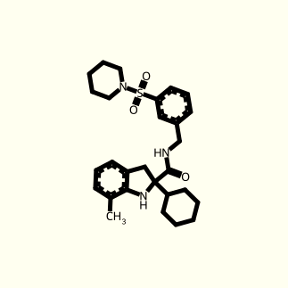 Cc1cccc2c1NC(C(=O)NCc1cccc(S(=O)(=O)N3CCCCC3)c1)(C1CCCCC1)C2